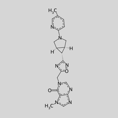 Cc1ccc(N2C[C@@H]3[C@H](C2)[C@H]3c2noc(Cn3cnc4ncn(C)c4c3=O)n2)nc1